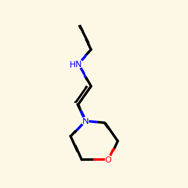 CCNC=CN1CCOCC1